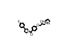 O=C(c1ccc(OCC(O)Cn2cccn2)cc1)N1CCC(c2ccc(F)cc2)C1